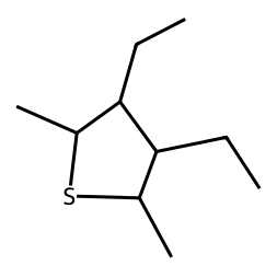 CCC1C(C)SC(C)C1CC